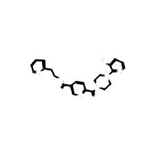 CC(C)Nc1cccnc1N1CCN(C(=O)c2ccc(C(=O)NCCc3ccccn3)cn2)CC1